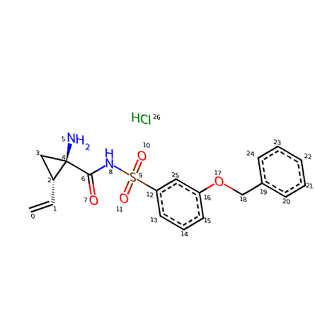 C=C[C@@H]1C[C@]1(N)C(=O)NS(=O)(=O)c1cccc(OCc2ccccc2)c1.Cl